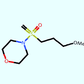 C=S(=O)(CCCOC)N1CCOCC1